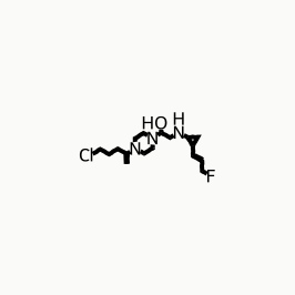 C=C(CCCCl)N1CCN(C(O)CNC2CC2/C=C/CF)CC1